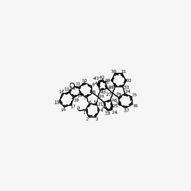 Cc1cccc2c1-c1c(ccc3oc4ccccc4c13)C21c2ccccc2C2(c3ccccc3-c3ccccc32)c2ccccc21